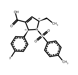 CC[C@@H]1C=C(C(=O)O)[C@H](c2ccc(F)cc2)N1S(=O)(=O)c1ccc(C)cc1